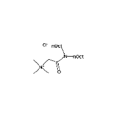 CCCCCCCCN(CCCCCCCC)C(=O)C[N+](C)(C)C.[Cl-]